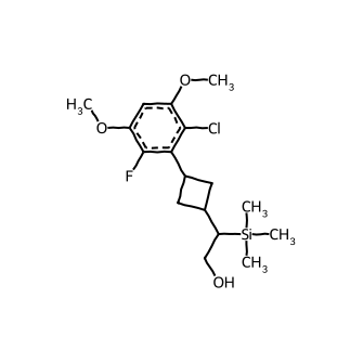 COc1cc(OC)c(Cl)c(C2CC(C(CO)[Si](C)(C)C)C2)c1F